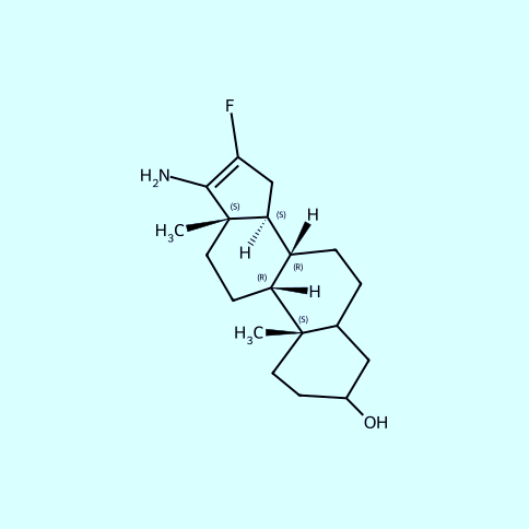 C[C@]12CCC(O)CC1CC[C@@H]1[C@H]2CC[C@]2(C)C(N)=C(F)C[C@@H]12